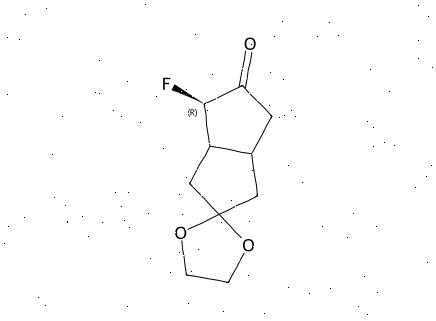 O=C1CC2CC3(CC2[C@H]1F)OCCO3